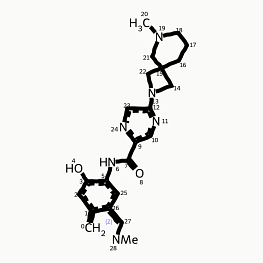 C=c1cc(O)c(NC(=O)c2cnc(N3CC4(CCCN(C)C4)C3)cn2)c/c1=C/NC